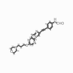 O=CNc1ccc(C#Cc2cn3c(n2)sc2nc(OCCCN4CCOCC4)cnc23)cc1